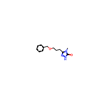 Cn1c(CCCOCc2ccccc2)n[nH]c1=O